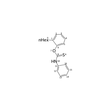 CCCCCCc1ccccc1OC(=S)Nc1ccccc1